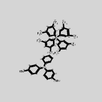 CC(C)(C)c1ccc([S+](c2ccccc2)c2ccc(C(C)(C)C)cc2)cc1.FC(F)(F)c1cc([B-](c2cc(C(F)(F)F)cc(C(F)(F)F)c2)(c2cc(C(F)(F)F)cc(C(F)(F)F)c2)c2cc(C(F)(F)F)cc(C(F)(F)F)c2)cc(C(F)(F)F)c1